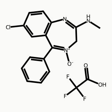 CNC1=Nc2ccc(Cl)cc2C(c2ccccc2)=[N+]([O-])C1.O=C(O)C(F)(F)F